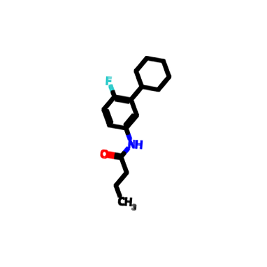 CCCC(=O)Nc1ccc(F)c(C2CCCCC2)c1